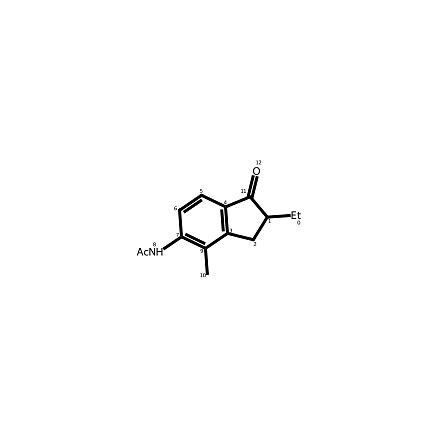 CCC1Cc2c(ccc(NC(C)=O)c2C)C1=O